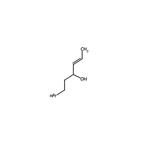 C/C=C/C(O)CCCCC